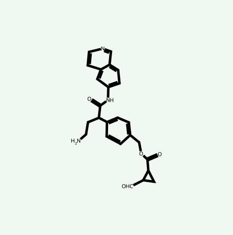 NCCC(C(=O)Nc1ccc2cnccc2c1)c1ccc(COC(=O)C2CC2C=O)cc1